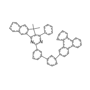 CC1(C)c2cc3ccccc3cc2-c2nc(-c3cccc(-c4cccc(-c5ccc6c7ccccc7c7ccccc7c6c5)c4)c3)nc(-c3ccccc3)c21